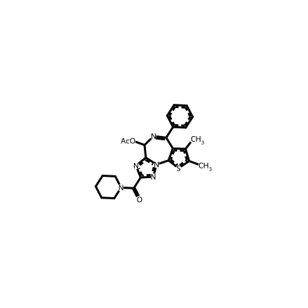 CC(=O)OC1N=C(c2ccccc2)c2c(sc(C)c2C)-n2nc(C(=O)N3CCCCC3)nc21